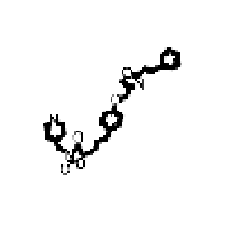 O=C1OC(CCCc2ccc(OCc3coc(C=Cc4ccccc4)n3)cc2)C(=O)N1Cc1ccncc1